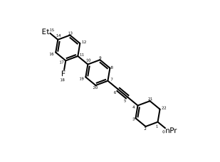 CCCC1CC=C(C#Cc2ccc(-c3ccc(CC)cc3F)cc2)CC1